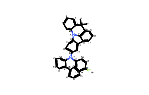 CC1(C)c2ccccc2-n2c3ccc(N(c4ccc(F)cc4)c4ccccc4-c4ccccc4)cc3c3cccc1c32